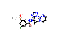 C[S+]([O-])c1cc(Cl)cc(C(=O)NC2(c3ncnn3-c3ncccn3)CC2)c1